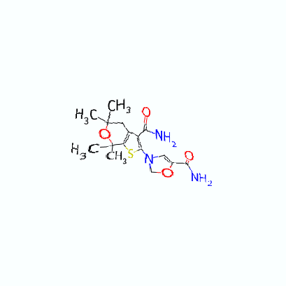 CC1(C)Cc2c(sc(N3C=C(C(N)=O)OC3)c2C(N)=O)C(C)(C)O1